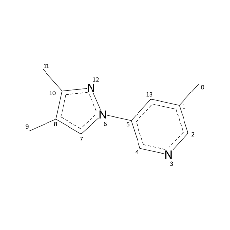 Cc1cncc(-n2cc(C)c(C)n2)c1